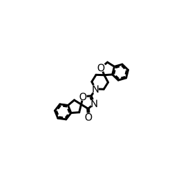 O=C1N=C(N2CCC3(CC2)OCc2ccccc23)OC12Cc1ccccc1C2